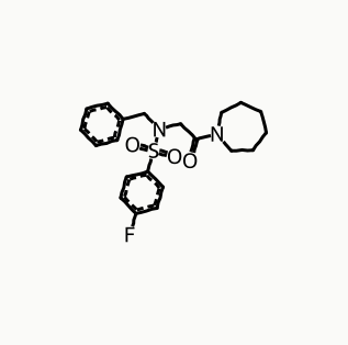 O=C(CN(Cc1ccccc1)S(=O)(=O)c1ccc(F)cc1)N1CCCCCC1